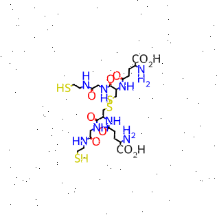 NC(CCC(=O)NC(CSSCC(NC(=O)CCC(N)C(=O)O)C(=O)NCC(=O)NCCS)C(=O)NCC(=O)NCCS)C(=O)O